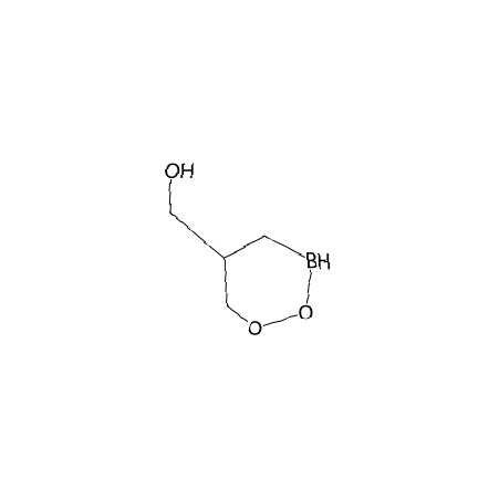 OCC1CBOOC1